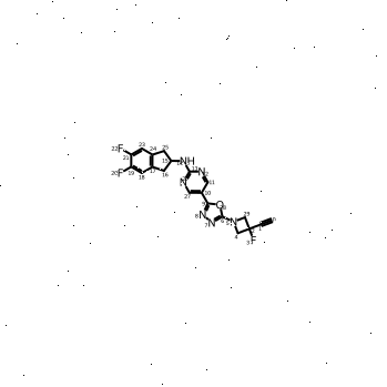 C#CC1(F)CN(c2nnc(-c3cnc(NC4Cc5cc(F)c(F)cc5C4)nc3)o2)C1